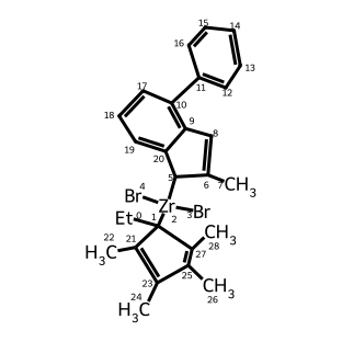 CC[C]1([Zr]([Br])([Br])[CH]2C(C)=Cc3c(-c4ccccc4)cccc32)C(C)=C(C)C(C)=C1C